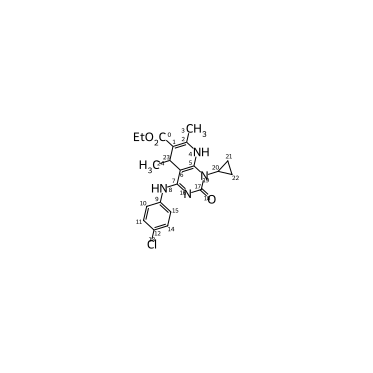 CCOC(=O)C1=C(C)Nc2c(c(Nc3ccc(Cl)cc3)nc(=O)n2C2CC2)C1C